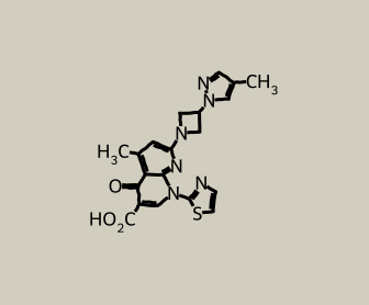 Cc1cnn(C2CN(c3cc(C)c4c(=O)c(C(=O)O)cn(-c5nccs5)c4n3)C2)c1